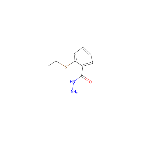 CCSc1ccccc1C(=O)NN